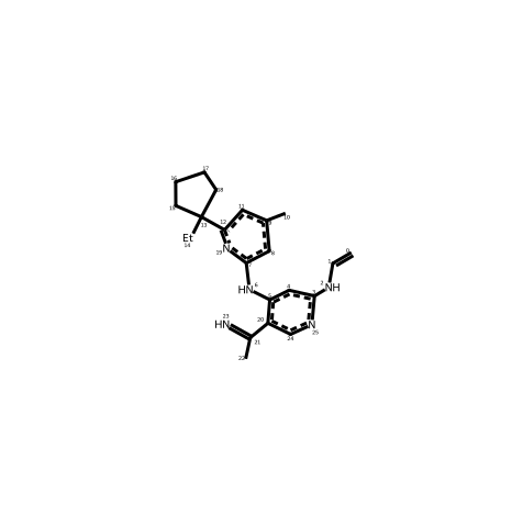 C=CNc1cc(Nc2cc(C)cc(C3(CC)CCCC3)n2)c(C(C)=N)cn1